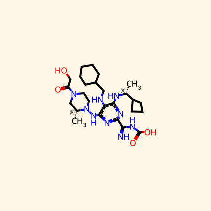 C[C@@H]1CN(C(=O)CO)CCN1Nc1nc(C(=N)NC(=O)O)nc(N[C@H](C)C2CCC2)c1NCC1CCCCC1